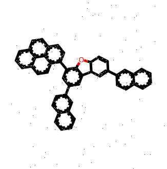 C1=CC2Oc3c(-c4ccc5ccc6cccc7ccc4c5c67)cc(-c4ccc5ccccc5c4)cc3C2C=C1c1ccc2ccccc2c1